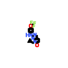 O=c1ccc2cnc(Nc3ccc(OC(F)(F)F)cc3)nc2n1CC1CC1